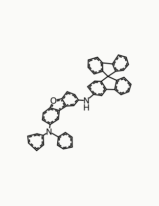 c1ccc(N(c2ccccc2)c2ccc3oc4ccc(Nc5ccc6c(c5)-c5ccccc5C65c6ccccc6-c6ccccc65)cc4c3c2)cc1